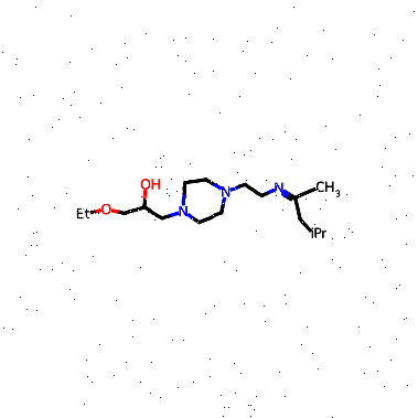 CCOCC(O)CN1CCN(CCN=C(C)CC(C)C)CC1